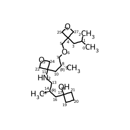 CC(C)CC1(COC[C@H](C)CC2(NC[C@H](C)CC3(O)CCC3)COC2)COC1